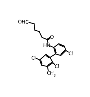 Cc1cc(Cl)cc(-c2cc(Cl)ccc2NC(=O)CCCCC=O)c1Cl